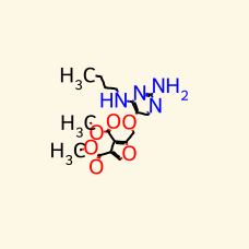 CCCCNc1nc(N)ncc1OCc1occ(C(=O)OC)c1C(=O)OC